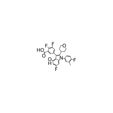 Cc1cc(-n2c(C3CCOCC3)c(-c3cc(F)c(F)c(C(=O)O)c3)c3c(O)cc(F)cc32)ccc1F